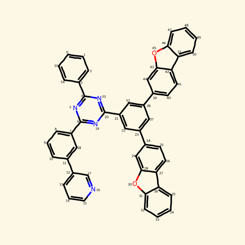 c1ccc(-c2nc(-c3cccc(-c4cccnc4)c3)nc(-c3cc(-c4ccc5c(c4)oc4ccccc45)cc(-c4ccc5c(c4)oc4ccccc45)c3)n2)cc1